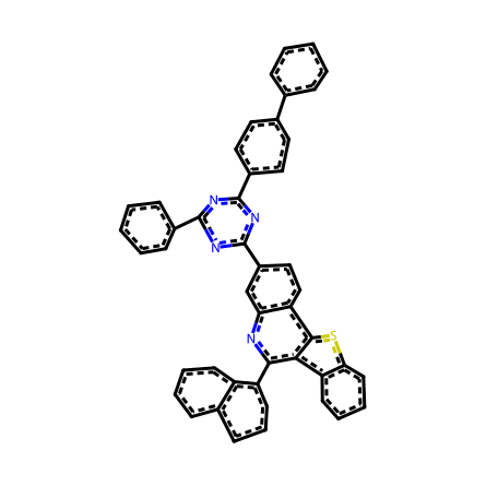 c1ccc(-c2ccc(-c3nc(-c4ccccc4)nc(-c4ccc5c(c4)nc(-c4cccc6ccccc46)c4c6ccccc6sc54)n3)cc2)cc1